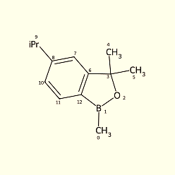 CB1OC(C)(C)c2cc(C(C)C)ccc21